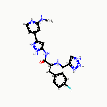 CNc1cc(-c2cc(NC(=O)[C@H](Cc3ccc(F)cc3)NCc3c[nH]nn3)[nH]n2)ccn1